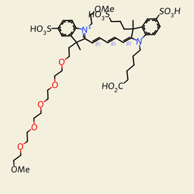 COCCOCCOCCOCCOCCOCCC1(C)C(/C=C/C=C/C=C2/N(CCCCCC(=O)O)c3ccc(S(=O)(=O)O)cc3C2(C)CCCS(=O)(=O)O)=[N+](CCOC)c2ccc(S(=O)(=O)O)cc21